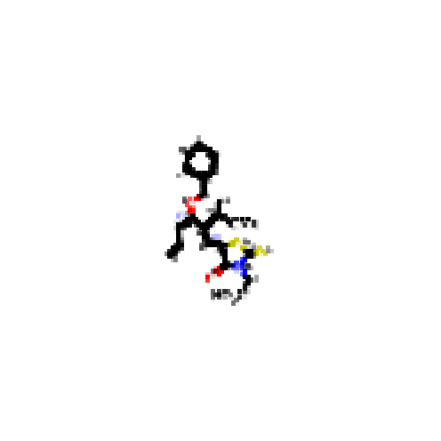 C=C/C=C(/OCc1ccccc1)C(/C=C1\SC(=S)N(CC(=O)O)C1=O)=C(C)OC